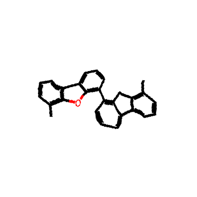 Cc1cccc2c1Cc1c-2cccc1-c1cccc2c1oc1c(C)cccc12